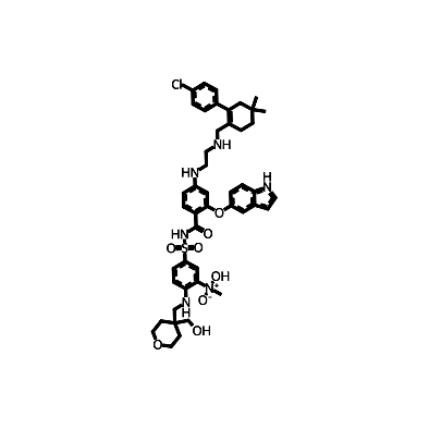 CC1(C)CCC(CNCCNc2ccc(C(=O)NS(=O)(=O)c3ccc(NCC4(CO)CCOCC4)c([N+](C)([O-])O)c3)c(Oc3ccc4[nH]ccc4c3)c2)=C(c2ccc(Cl)cc2)C1